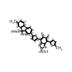 CCCCCCCCn1nc2c(-c3ccc(C)s3)c(F)c(F)c(-c3ccc(-c4ccc5c(c4)C(CCCCCC)(CCCCCC)c4cc(C)ccc4-5)s3)c2n1